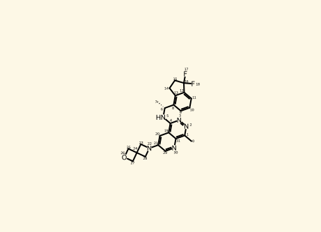 Cc1nnc(N[C@H](C)c2cccc3c2CCC3(F)F)c2cc(N3CC4(COC4)C3)cnc12